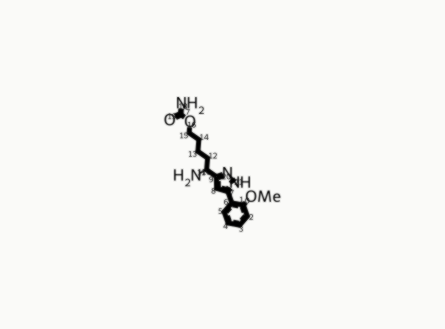 COc1ccccc1-c1cc([C@H](N)CCCCOC(N)=O)n[nH]1